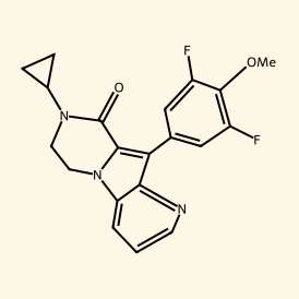 COc1c(F)cc(-c2c3n(c4cccnc24)CCN(C2CC2)C3=O)cc1F